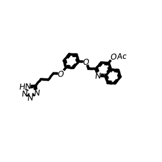 CC(=O)Oc1cc(COc2cccc(OCCCc3nnn[nH]3)c2)nc2ccccc12